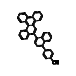 N#Cc1ccc(-c2ccc(-c3cc4c5ccccc5c5ccccc5c4c4ccccc34)c3ccccc23)cc1